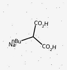 CCCCC(C(=O)O)C(=O)O.[Na]